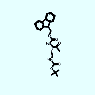 CC(=O)[C@H](CCNC(=O)OC(C)(C)C)NC(=O)OCC1c2ccccc2-c2ccccc21